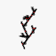 CCCCCCC(CCCC)COC(=O)CCCCCCCCC(CCCCCCCCC(=O)OCC(CCCC)CCCCCC)N(CCCCCCCCCCCCCCC(CCCCCC)COC(=O)CCCCCCCCC(CCCCCCCCC(=O)OCC(CCCC)CCCCCC)N(CC(CC)CCCC)C(=O)CCCN(C)C)C(=O)CCCCN(CCCC)CCCC